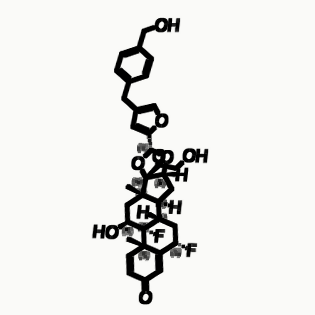 C[C@]12C=CC(=O)C=C1[C@@H](F)C[C@H]1[C@@H]3C[C@H]4O[C@@H](c5cc(Cc6ccc(CO)cc6)co5)O[C@@]4(C(=O)CO)[C@@]3(C)C[C@H](O)[C@@]12F